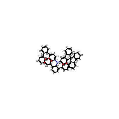 c1ccc(-c2cccc(-c3ccccc3)c2N(c2ccc3c(c2)-c2ccccc2C32c3ccccc3-c3ccccc32)c2ccc3c4ccccc4c4ccccc4c3c2)cc1